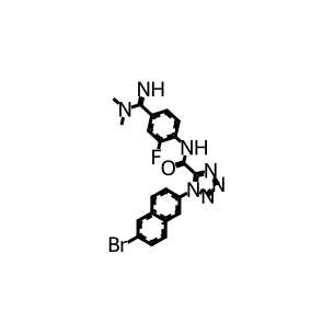 CN(C)C(=N)c1ccc(NC(=O)c2nnnn2-c2ccc3cc(Br)ccc3c2)c(F)c1